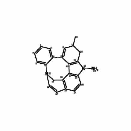 CC1C=C2c3ccccc3N3C=Cc4ccc5c(c4C3)c2c(n5N)C1